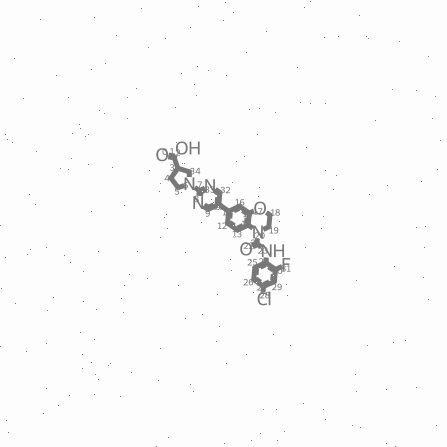 O=C(O)C1CCN(c2ncc(-c3ccc4c(c3)OCCN4C(=O)Nc3ccc(Cl)cc3F)cn2)C1